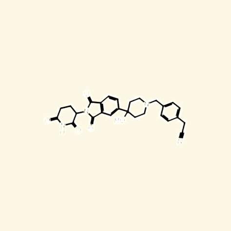 N#CCc1ccc(CN2CCC(O)(c3ccc4c(c3)C(=O)N(C3CCC(=O)NC3=O)C4=O)CC2)cc1